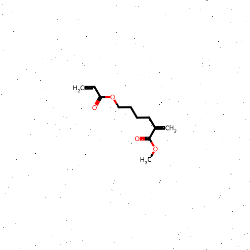 C=CC(=O)OCCCCC(=C)C(=O)OC